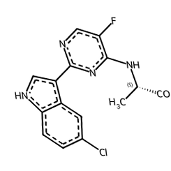 C[C@H](Nc1nc(-c2c[nH]c3ccc(Cl)cc23)ncc1F)C(=O)O